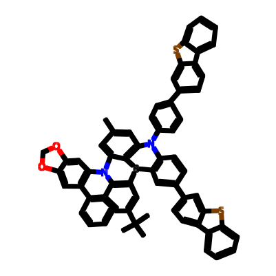 Cc1cc2c3c(c1)N(c1cc4c(cc1-c1ccccc1)OCO4)c1ccc(C(C)(C)C)cc1B3c1cc(-c3ccc4c(c3)sc3ccccc34)ccc1N2c1ccc(-c2ccc3c(c2)sc2ccccc23)cc1